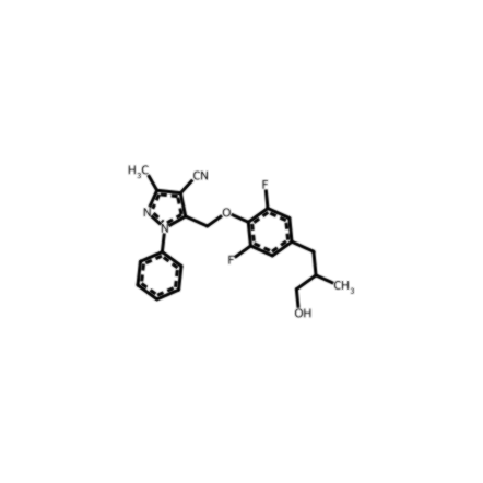 Cc1nn(-c2ccccc2)c(COc2c(F)cc(CC(C)CO)cc2F)c1C#N